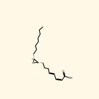 CCCCCCCC[C@H]1O[C@H]1CCCC=C/C=C\C(=O)O